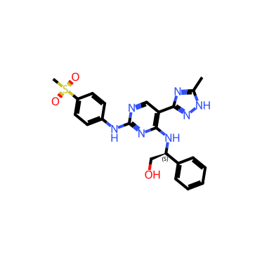 Cc1nc(-c2cnc(Nc3ccc(S(C)(=O)=O)cc3)nc2N[C@H](CO)c2ccccc2)n[nH]1